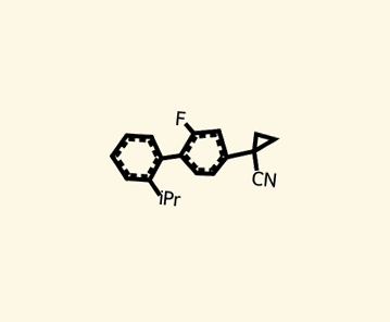 CC(C)c1ccccc1-c1ccc(C2(C#N)CC2)cc1F